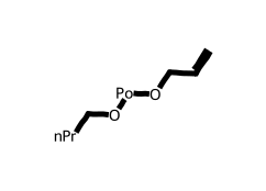 C=CC[O][Po][O]CCCC